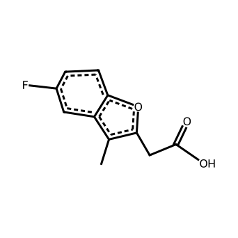 Cc1c(CC(=O)O)oc2ccc(F)cc12